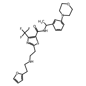 CC(NC(=O)c1sc(CCNCCc2ccco2)nc1C(F)(F)F)c1cccc(N2CCOCC2)c1